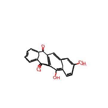 O=C1c2ccccc2C(=O)c2c1cc1cc(O)ccc1c2O